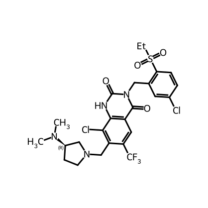 CCS(=O)(=O)c1ccc(Cl)cc1Cn1c(=O)[nH]c2c(Cl)c(CN3CC[C@@H](N(C)C)C3)c(C(F)(F)F)cc2c1=O